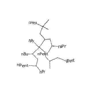 CCCCCCC(C)(C)C[C](CC(CCC)CCCCC)C(CCC)(CCC(C)CC(C)CCC)C(CCCC)CC(CCC)CCCCC